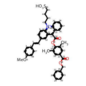 COc1ccc(/C=C/c2ccc3c(c2)c(C(=O)Oc2c(C)cc(C(=O)OCc4ccccc4)cc2C)c2ccccc2[n+]3CCCCS(=O)(=O)O)cc1